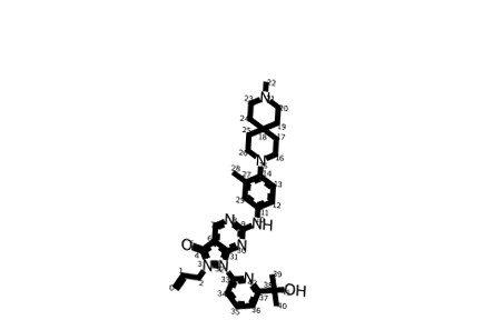 C=CCn1c(=O)c2cnc(Nc3ccc(N4CCC5(CCN(C)CC5)CC4)c(C)c3)nc2n1-c1cccc(C(C)(C)O)n1